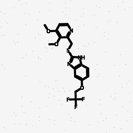 COc1ccnc(CSc2nc3cc(OCC(F)(F)F)ccc3[nH]2)c1OC